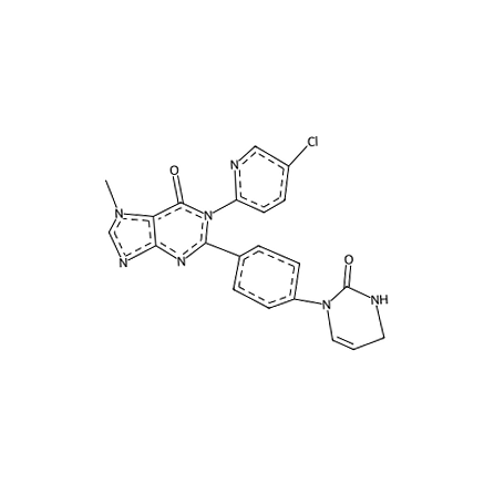 Cn1cnc2nc(-c3ccc(N4C=CCNC4=O)cc3)n(-c3ccc(Cl)cn3)c(=O)c21